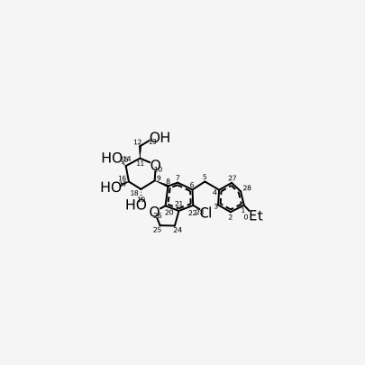 CCc1ccc(Cc2cc([C@@H]3O[C@H](CO)[C@@H](O)[C@H](O)[C@H]3O)c3c(c2Cl)CCO3)cc1